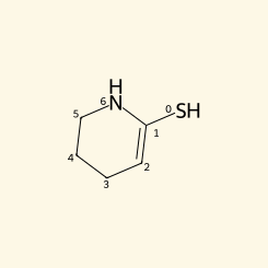 SC1=CCCCN1